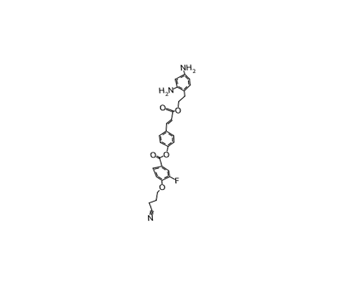 N#CCCCOc1ccc(C(=O)Oc2ccc(C=CC(=O)OCCc3ccc(N)cc3N)cc2)cc1F